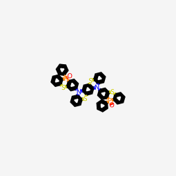 O=P1(c2ccccc2)c2ccccc2Sc2cc(-n3c4ccccc4sc4cc5c(cc43)sc3ccccc3n5-c3ccc4c(c3)Sc3ccccc3P4(=O)c3ccccc3)ccc21